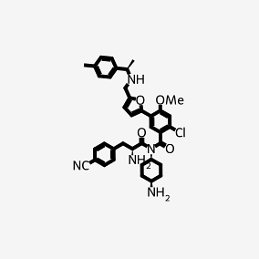 COc1cc(Cl)c(C(=O)N(C(=O)[C@H](N)Cc2ccc(C#N)cc2)[C@H]2CC[C@H](N)CC2)cc1-c1ccc(CN[C@H](C)c2ccc(C)cc2)o1